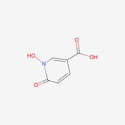 O=C(O)c1ccc(=O)n(O)c1